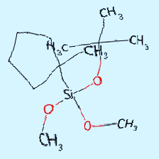 CO[Si](OC)(OC(C)(C)C)C1(C)CCCC1